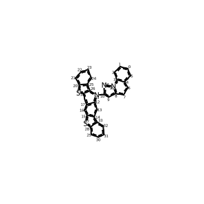 c1ccc2c(c1)ccc1cc(-n3c4cc5c(cc4c4sc6ccccc6c43)sc3ccccc35)nn12